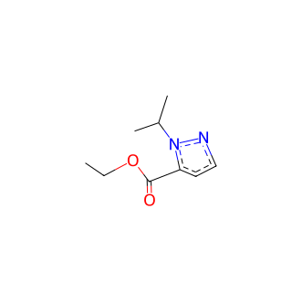 CCOC(=O)c1ccnn1C(C)C